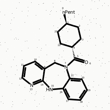 CCCCC[C@H]1CC[C@H](C(=O)N2Cc3cccnc3Nc3ccccc32)CC1